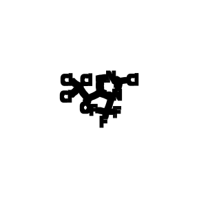 O=C(c1cnc(Cl)nc1C(F)(F)F)C(Cl)(Cl)Cl